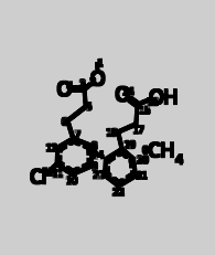 C.COC(=O)CCc1cccc(Cl)c1.O=C(O)CCc1ccccc1